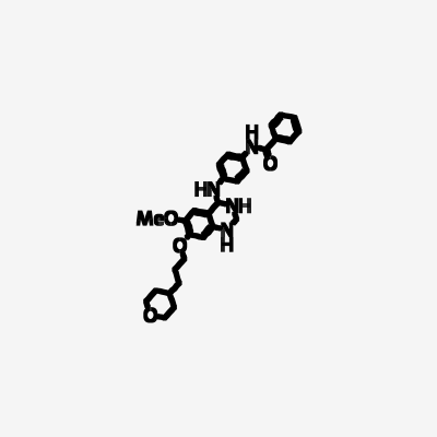 COc1cc2c(cc1OCCCC1CCOCC1)NCNC2Nc1ccc(NC(=O)c2ccccc2)cc1